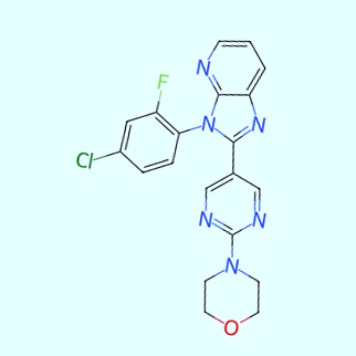 Fc1cc(Cl)ccc1-n1c(-c2cnc(N3CCOCC3)nc2)nc2cccnc21